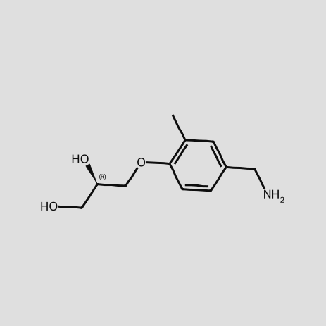 Cc1cc(CN)ccc1OC[C@H](O)CO